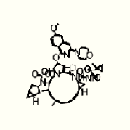 COc1ccc2c(O[C@@H]3C[C@H]4C(=O)N[C@]5(C(=O)NS(=O)(=O)C6(C)CC6)C[C@H]5/C=C\CC[C@@H](C)C[C@@H](C)[C@H](N(C(=O)O)[C@H]5CC6C[C@H]6C5)C(=O)N4C3)nc(N3CCOCC3)cc2c1